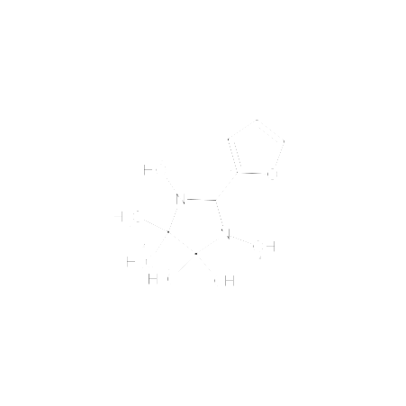 CC1(C)N(O)C(c2ccco2)N(O)C1(C)C